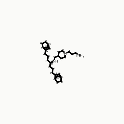 NCCCN1CCC(CNC(CCCC2CC3CCC2C3)CCCC2CC3CCC2C3)CC1